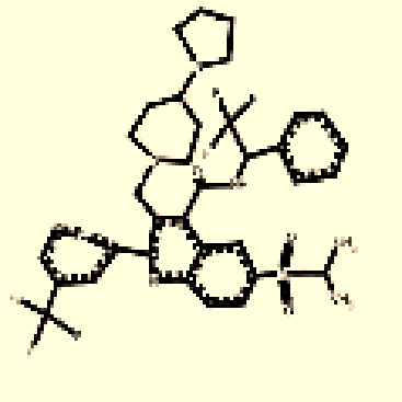 CC(C)S(=O)(=O)c1ccc2nc(-c3cccc(C(F)(F)F)c3)c(CN3CCC(N4CCCC4)CC3)c(C(=O)NC(c3ccccc3)C(F)(F)F)c2c1